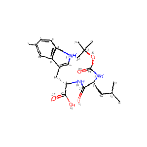 Cc1ccc2[nH]cc(C[C@H](NC(=O)[C@H](CC(C)C)NC(=O)OC(C)(C)C)C(=O)O)c2c1